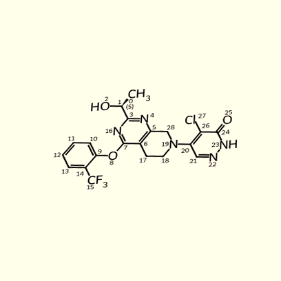 C[C@H](O)c1nc2c(c(Oc3ccccc3C(F)(F)F)n1)CCN(c1cn[nH]c(=O)c1Cl)C2